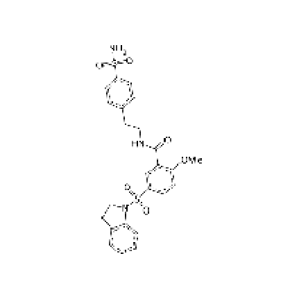 COc1ccc(S(=O)(=O)N2CCc3ccccc32)cc1C(=O)NCCc1ccc(S(N)(=O)=O)cc1